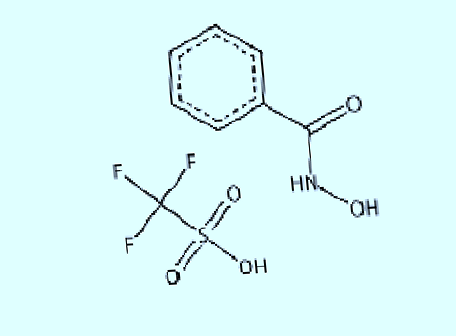 O=C(NO)c1ccccc1.O=S(=O)(O)C(F)(F)F